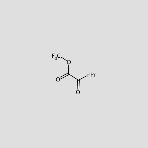 CCCC(=O)C(=O)OC(F)(F)F